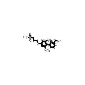 Cc1cc(OCCCS(C)(=O)=O)cc(C)c1-c1cccc(CO)c1C